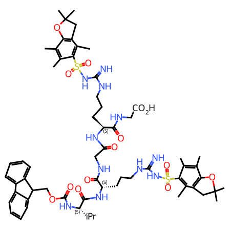 Cc1c(C)c(S(=O)(=O)NC(=N)NCCC[C@H](NC(=O)CNC(=O)[C@H](CCCNC(=N)NS(=O)(=O)c2c(C)c(C)c3c(c2C)CC(C)(C)O3)NC(=O)[C@@H](NC(=O)OCC2c3ccccc3-c3ccccc32)C(C)C)C(=O)NCC(=O)O)c(C)c2c1OC(C)(C)C2